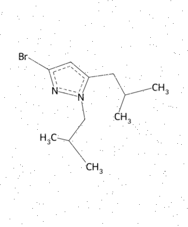 CC(C)Cc1cc(Br)nn1CC(C)C